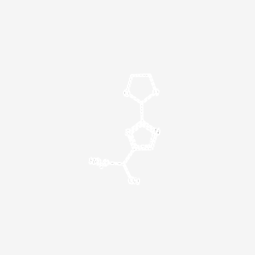 O=C(O)C(O)c1cnc(C2OCCO2)s1